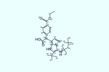 CCOC(=O)c1ccc(N(C(=O)O)c2cnn3c(NC(C)(C)CC(C)(C)C)c(C(C)(C)C)[nH]c23)cc1